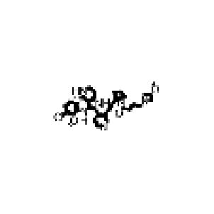 COc1c(Cl)cccc1Nc1c(-c2ccncc2C#CC23CC(CN2C(=O)/C=C/CN2CC(OC)C2)C3)[nH]c2c1C(=O)NCC2